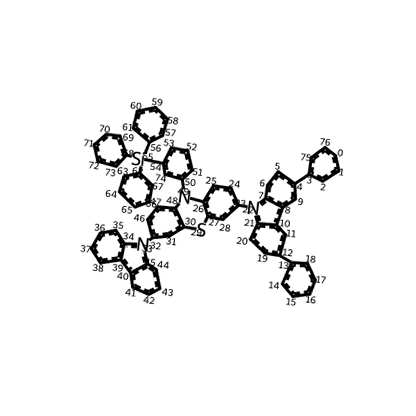 c1ccc(-c2ccc3c(c2)c2cc(-c4ccccc4)ccc2n3-c2ccc3c(c2)Sc2cc(-n4c5ccccc5c5ccccc54)ccc2N3c2cccc([Si](c3ccccc3)(c3ccccc3)c3ccccc3)c2)cc1